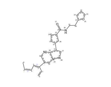 C=C/C(=C\C=C/C)c1cnc2c(-c3csc(C(=O)NCCc4ccco4)c3)cnn2c1